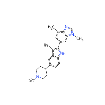 CCCN1CCC(c2ccc3[nH]c(-c4cc(C)c5ncn(C)c5c4)c(C(C)C)c3c2)CC1